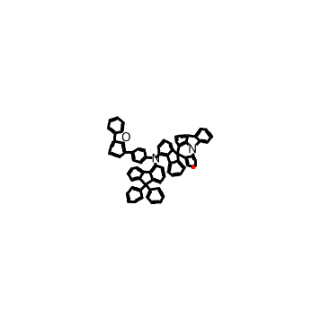 c1ccc(C2(c3ccccc3)c3ccccc3-c3c(N(c4ccc(-c5cccc6c5oc5ccccc56)cc4)c4cccc5c4-c4ccccc4C54c5ccccc5-n5c6ccccc6c6cccc4c65)cccc32)cc1